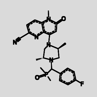 C[C@@H]1CN(c2cc(=O)n(C)c3ccc(C#N)nc23)[C@@H](C)CN1C(c1ccc(F)cc1)P(C)(C)=O